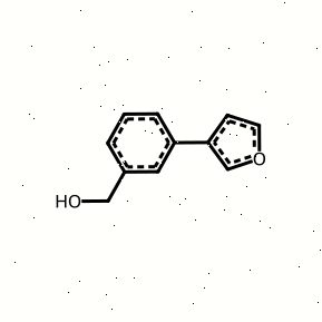 OCc1cccc(-c2ccoc2)c1